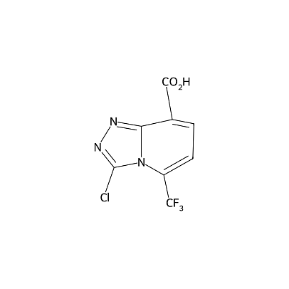 O=C(O)c1ccc(C(F)(F)F)n2c(Cl)nnc12